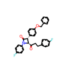 O=C(CCc1ccc(F)cc1)[C@@H]1[C@@H](c2ccc(OCc3ccccc3)cc2)C(=O)N1c1ccc(F)cc1